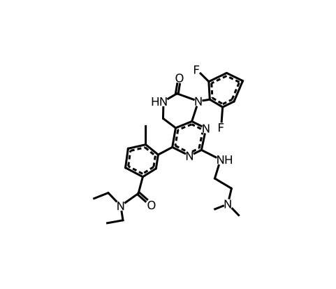 CCN(CC)C(=O)c1ccc(C)c(-c2nc(NCCN(C)C)nc3c2CNC(=O)N3c2c(F)cccc2F)c1